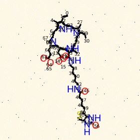 C=Cc1c(C)c2cc3nc(c(CC(=O)OC)c4[nH]c(cc5nc(cc1[nH]2)C(C)=C5CC)c(C)c4C(=O)NCCCCCCNC(=O)CCCC[C@@H]1SCC2NC(=O)NC21)[C@@H](CCC(=O)OC)[C@@H]3C